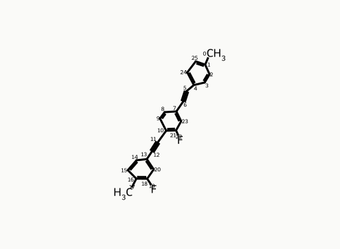 Cc1ccc(C#Cc2ccc(C#Cc3ccc(C)c(F)c3)c(F)c2)cc1